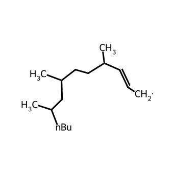 [CH2]/C=C/C(C)CCC(C)CC(C)CCC[CH2]